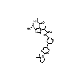 CNC(=O)c1c(NO)ncn1[C@@H](C)C(=O)NC1=NC(c2cnc(N3CCCC3(C)C)nc2)CN=C1